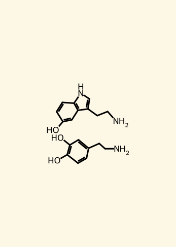 NCCc1c[nH]c2ccc(O)cc12.NCCc1ccc(O)c(O)c1